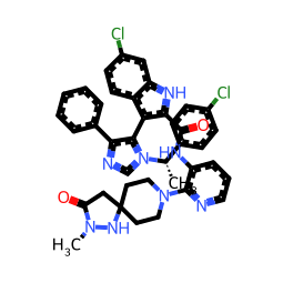 C[C@@H](c1ccc(Cl)cc1)n1cnc(-c2ccccc2)c1-c1c(C(=O)Nc2cccnc2N2CCC3(CC2)CC(=O)N(C)N3)[nH]c2cc(Cl)ccc12